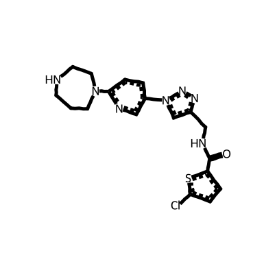 O=C(NCc1cn(-c2ccc(N3CCCNCC3)nc2)nn1)c1ccc(Cl)s1